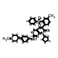 Cc1ccc(-c2cc3cnc(Nc4ccc(C5CCN(C)CC5)cc4)nc3n(C3CCCC3)c2=O)c(S(=O)(=O)c2ccccc2)c1